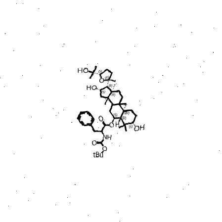 CC(C)(C)OC(=O)NC(Cc1ccccc1)C(=O)O[C@H]1CC2C3(CC[C@]4(C)[C@@H]([C@@]5(C)CC[C@@H](C(C)(C)O)O5)[C@@H](O)C[C@@]24C)C[C@@]32CC[C@H](O)C(C)(C)[C@H]12